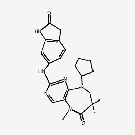 CN1C(=O)C(F)(F)CN(C2CCCC2)c2nc(Nc3ccc4c(c3)NC(=O)C4)ncc21